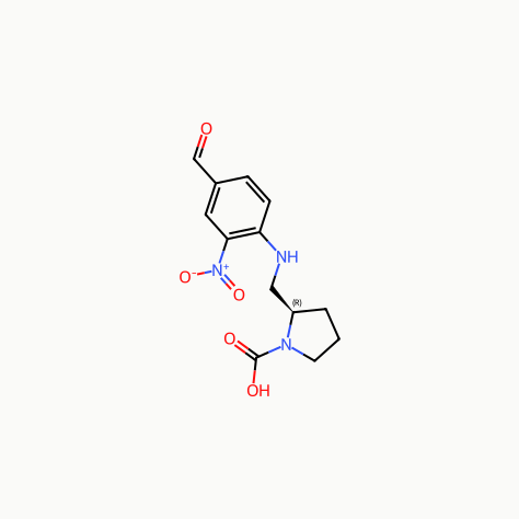 O=Cc1ccc(NC[C@H]2CCCN2C(=O)O)c([N+](=O)[O-])c1